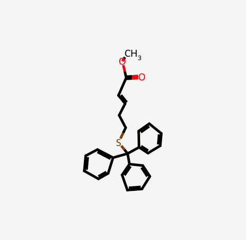 COC(=O)C=CCCSC(c1ccccc1)(c1ccccc1)c1ccccc1